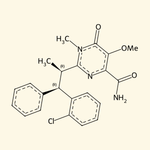 COc1c(C(N)=O)nc([C@H](C)[C@H](c2ccccc2)c2ccccc2Cl)n(C)c1=O